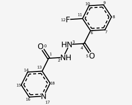 O=C(NNC(=O)c1ccccc1F)c1cccnc1